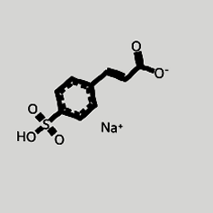 O=C([O-])C=Cc1ccc(S(=O)(=O)O)cc1.[Na+]